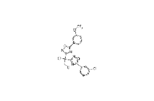 FC(F)(F)Oc1cccc(-c2nc(C(Cl)(CCl)c3noc(-c4cccc(Cl)c4)n3)no2)c1